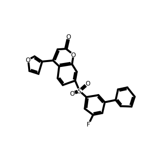 O=c1cc(-c2ccoc2)c2ccc(S(=O)(=O)c3cc(F)cc(-c4ccccc4)c3)cc2o1